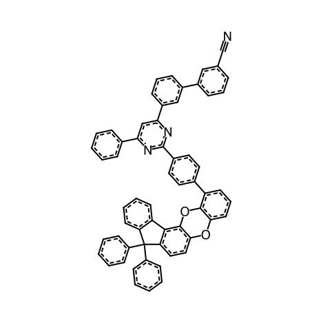 N#Cc1cccc(-c2cccc(-c3cc(-c4ccccc4)nc(-c4ccc(-c5cccc6c5Oc5c(ccc7c5-c5ccccc5C7(c5ccccc5)c5ccccc5)O6)cc4)n3)c2)c1